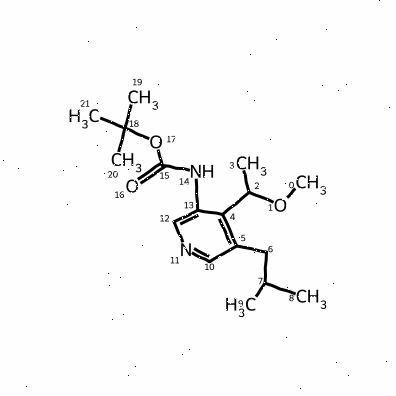 COC(C)c1c(CC(C)C)cncc1NC(=O)OC(C)(C)C